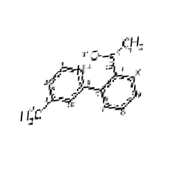 Cc1ccnc(-c2ccccc2[S+](C)[O-])c1